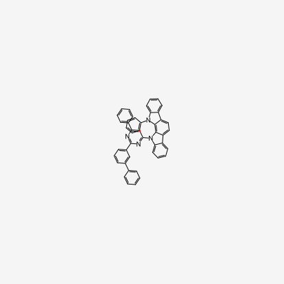 c1ccc(-c2cccc(-c3nc(-c4ccccc4)cc(-n4c5ccccc5c5ccc6c7ccccc7n(-c7ccccc7)c6c54)n3)c2)cc1